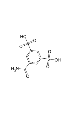 NC(=O)c1cc(S(=O)(=O)O)cc(S(=O)(=O)O)c1